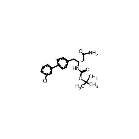 CC(C)(C)OC(=O)N[C@@H](CC(N)=O)Cc1ccc(-c2cccc(Cl)c2)cc1